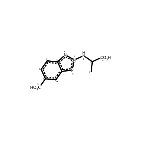 CC(Nn1nc2ccc(C(=O)O)cc2n1)C(=O)O